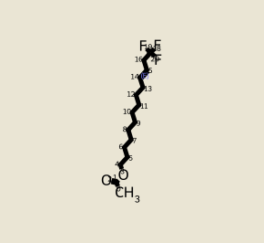 CC(=O)OCCCCCCCCCC/C=C/CC(F)(F)F